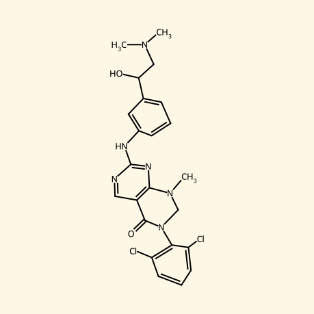 CN(C)CC(O)c1cccc(Nc2ncc3c(n2)N(C)CN(c2c(Cl)cccc2Cl)C3=O)c1